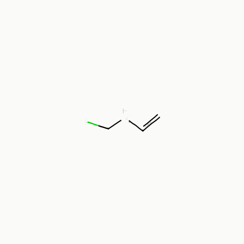 C=C[SiH2]CCl